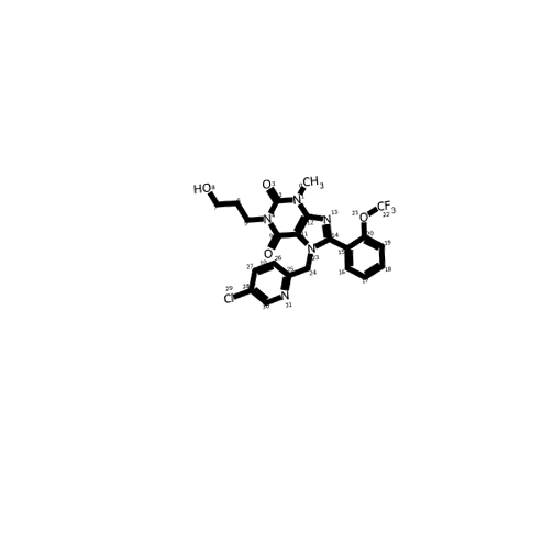 Cn1c(=O)n(CCCO)c(=O)c2c1nc(-c1ccccc1OC(F)(F)F)n2Cc1ccc(Cl)cn1